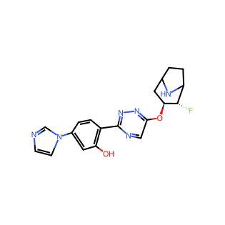 Oc1cc(-n2ccnc2)ccc1-c1ncc(O[C@H]2CC3CCC(N3)[C@@H]2F)nn1